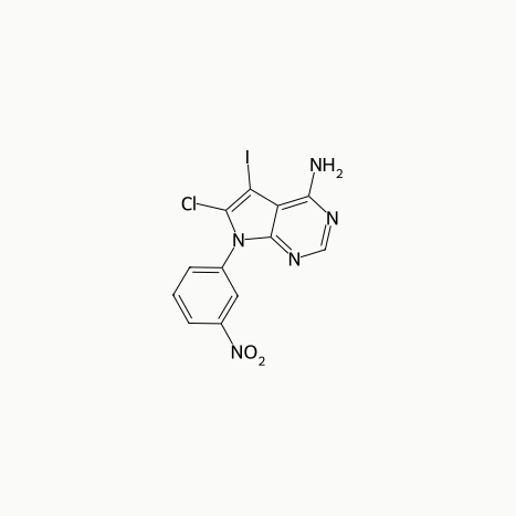 Nc1ncnc2c1c(I)c(Cl)n2-c1cccc([N+](=O)[O-])c1